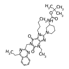 CCCCn1c(N2CCCC(NC(=O)OC(C)(C)C)C2)nc2c1c(=O)n(Cc1nc(CC)c3ccccc3n1)c(=O)n2CC